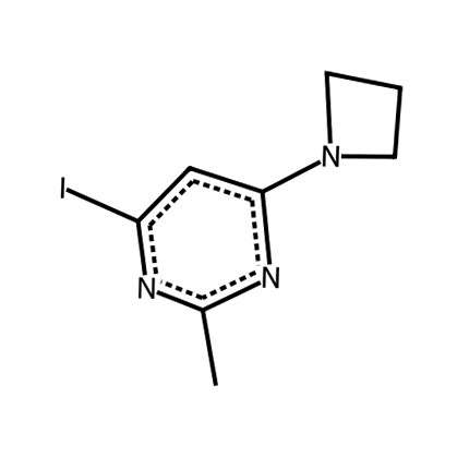 Cc1nc(I)cc(N2CCC2)n1